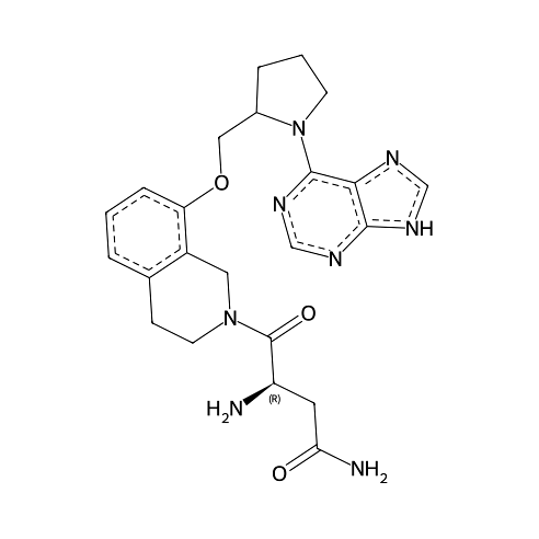 NC(=O)C[C@@H](N)C(=O)N1CCc2cccc(OCC3CCCN3c3ncnc4[nH]cnc34)c2C1